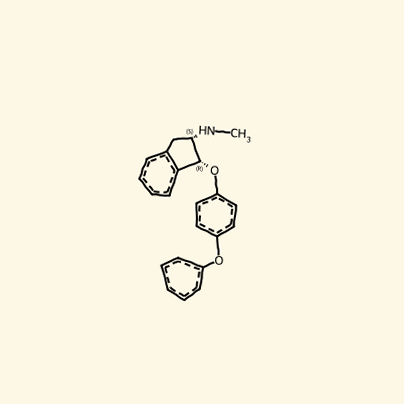 CN[C@H]1Cc2ccccc2[C@H]1Oc1ccc(Oc2ccccc2)cc1